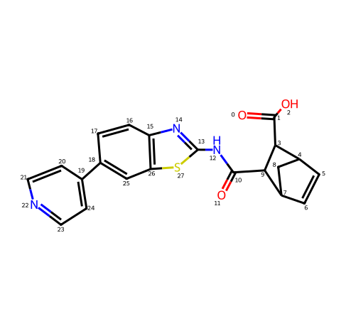 O=C(O)C1C2C=CC(C2)C1C(=O)Nc1nc2ccc(-c3ccncc3)cc2s1